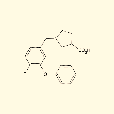 O=C(O)C1CCN(Cc2ccc(F)c(Oc3ccccc3)c2)C1